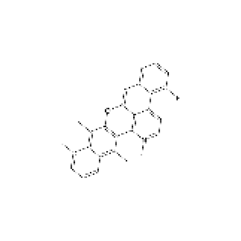 Cc1c2c(c(C)c3c(C)cccc13)Oc1cc3cccc(F)c3c3cc[n+](C)c-2c13